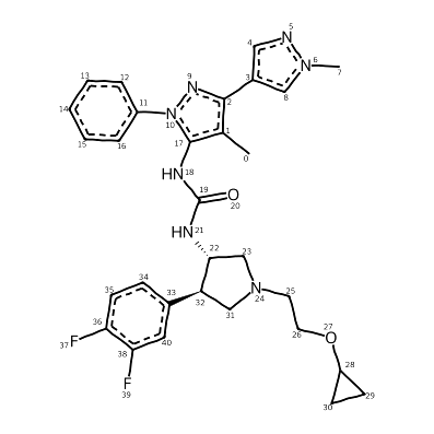 Cc1c(-c2cnn(C)c2)nn(-c2ccccc2)c1NC(=O)N[C@@H]1CN(CCOC2CC2)C[C@H]1c1ccc(F)c(F)c1